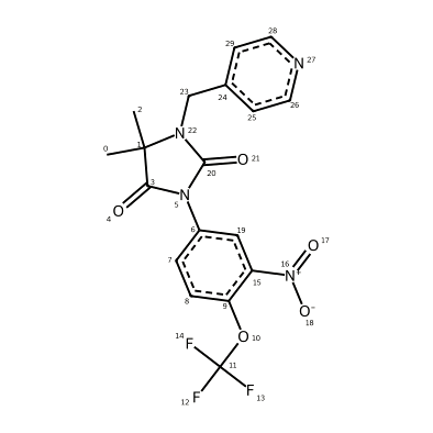 CC1(C)C(=O)N(c2ccc(OC(F)(F)F)c([N+](=O)[O-])c2)C(=O)N1Cc1ccncc1